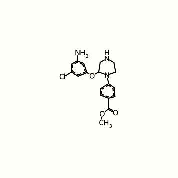 COC(=O)c1ccc(N2CCNCC2Oc2cc(N)cc(Cl)c2)cc1